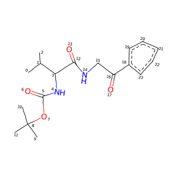 CC(C)C(NC(=O)OC(C)(C)C)C(=O)NCC(=O)c1ccccc1